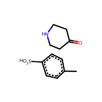 Cc1ccc(S(=O)(=O)O)cc1.O=C1CCNCC1